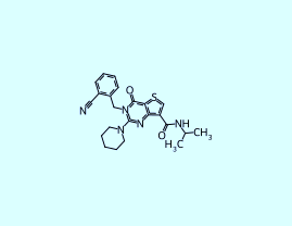 CC(C)NC(=O)c1csc2c(=O)n(Cc3ccccc3C#N)c(N3CCCCC3)nc12